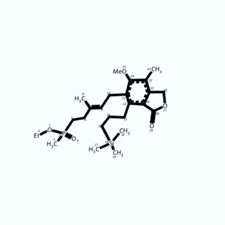 CCOP(C)(=O)CC/C(C)=C/Cc1c(CCC[Si](C)(C)C)c2c(c(C)c1OC)COC2=O